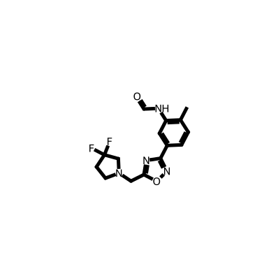 Cc1ccc(-c2noc(CN3CCC(F)(F)C3)n2)cc1NC=O